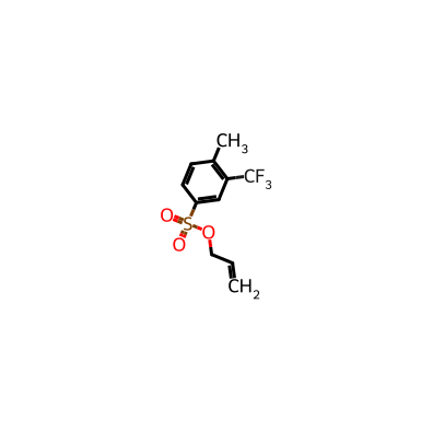 C=CCOS(=O)(=O)c1ccc(C)c(C(F)(F)F)c1